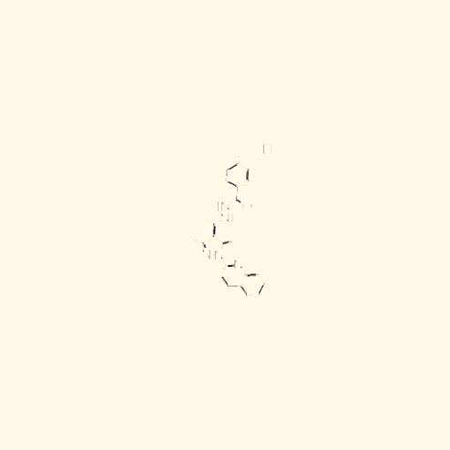 CC1=NN(c2ccc3ccccc3n2)C(=O)/C1=C(/C)NNC(=O)c1ccc(C(=O)O)cc1